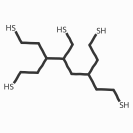 SCCC(CCS)CC(CS)C(CCS)CCS